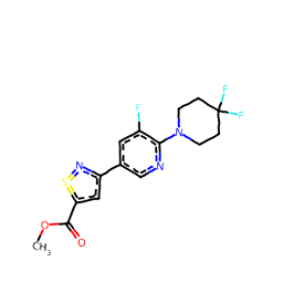 COC(=O)c1cc(-c2cnc(N3CCC(F)(F)CC3)c(F)c2)ns1